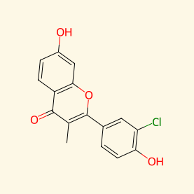 Cc1c(-c2ccc(O)c(Cl)c2)oc2cc(O)ccc2c1=O